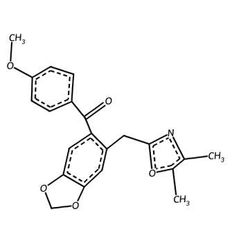 COc1ccc(C(=O)c2cc3c(cc2Cc2nc(C)c(C)o2)OCO3)cc1